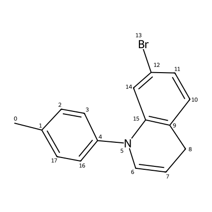 Cc1ccc(N2C=CCc3ccc(Br)cc32)cc1